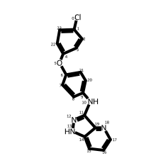 Clc1ccc(Oc2ccc(Nc3n[nH]c4cccnc34)cc2)cc1